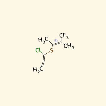 C=C=C(Cl)S/C(C)=C(\C)C(F)(F)F